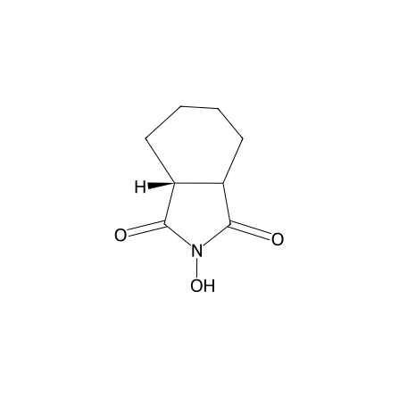 O=C1C2CCCC[C@H]2C(=O)N1O